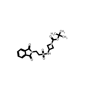 CC(C)(C)OC(=O)N1CC(NS(=O)(=O)CCN2C(=O)c3ccccc3C2=O)C1